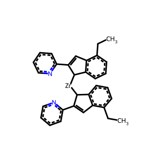 CCc1cccc2c1C=C(c1ccccn1)[CH]2[Zr][CH]1C(c2ccccn2)=Cc2c(CC)cccc21